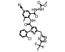 COC(=O)NNC(=O)c1cc(C#N)cc(C)c1NC(=O)c1cc(Cn2nnc(C(F)(F)F)n2)nn1-c1ccccc1Cl